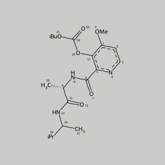 COc1ccnc(C(=O)N[C@@H](C)C(=O)NC(C)C(C)C)c1OC(=O)OCC(C)C